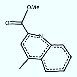 COC(=O)c1cc(C)c2ccccc2n1